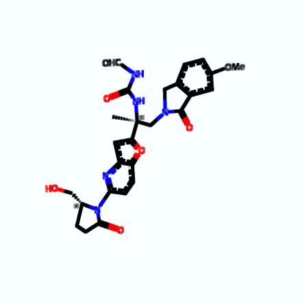 COc1ccc2c(c1)C(=O)N(C[C@](C)(NC(=O)NC=O)c1cc3nc(N4C(=O)CC[C@@H]4CO)ccc3o1)C2